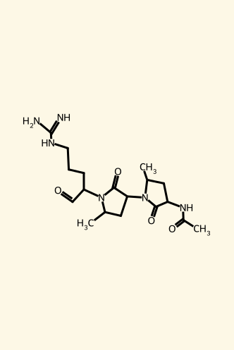 CC(=O)NC1CC(C)N(C2CC(C)N(C(C=O)CCCNC(=N)N)C2=O)C1=O